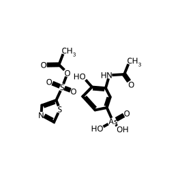 CC(=O)Nc1cc([As](=O)(O)O)ccc1O.CC(=O)OS(=O)(=O)c1cncs1